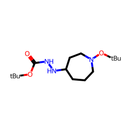 CC(C)(C)OC(=O)NNC1CCCN(OC(C)(C)C)CC1